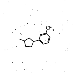 CC1CCC(c2cccc(C(F)(F)F)c2)C1